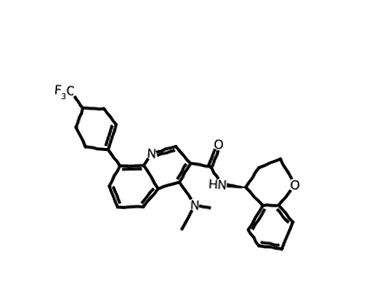 CN(C)c1c(C(=O)N[C@H]2CCOc3ccccc32)cnc2c(C3=CCC(C(F)(F)F)CC3)cccc12